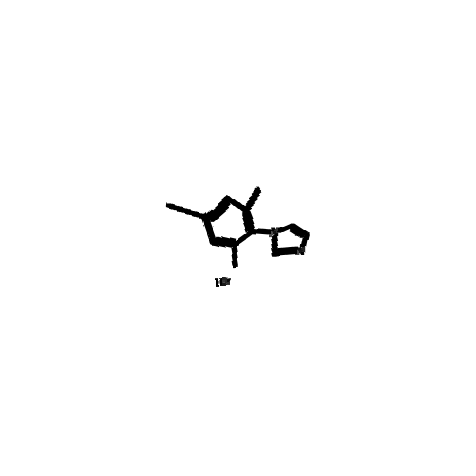 Br.Cc1cc(C)c(-n2ccnc2)c(C)c1